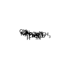 Cc1c(Nc2ncnc3cc(CN4CC[C@@H](O)C4)cnc23)cccc1-c1cccc(-c2nc3cc(CN4CC[C@@](C)(C(=O)O)C4)cc(C#N)c3o2)c1C